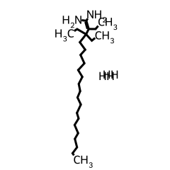 CCCCCCCCCCCCCCCCCCC(CC)(CC)C(CC)=C(N)N.[HH].[HH]